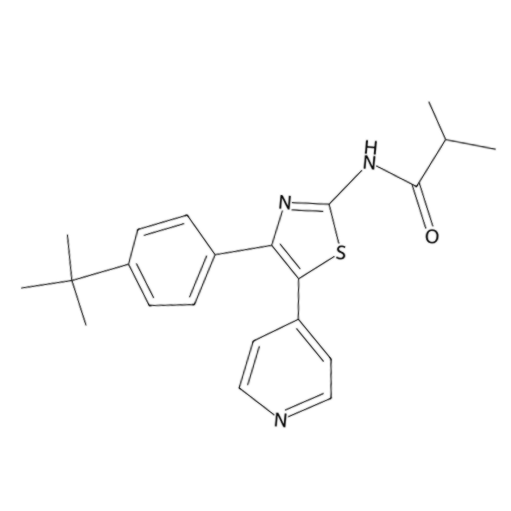 CC(C)C(=O)Nc1nc(-c2ccc(C(C)(C)C)cc2)c(-c2ccncc2)s1